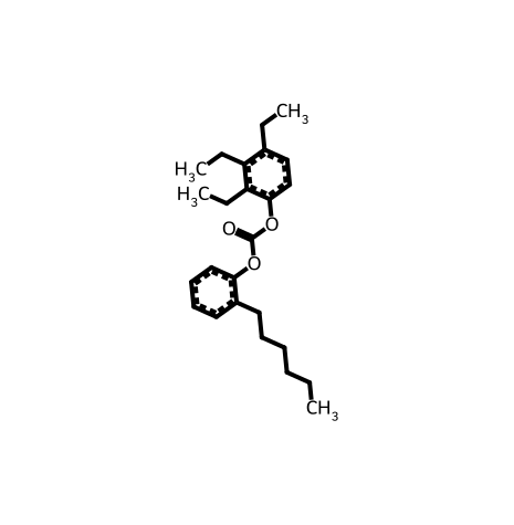 CCCCCCc1ccccc1OC(=O)Oc1ccc(CC)c(CC)c1CC